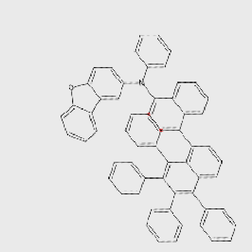 c1ccc(-c2c(-c3ccccc3)c(-c3ccccc3)c3c(-c4ccc(N(c5ccccc5)c5ccc6oc7ccccc7c6c5)c5ccccc45)cccc3c2-c2ccccc2)cc1